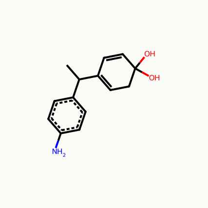 CC(C1=CCC(O)(O)C=C1)c1ccc(N)cc1